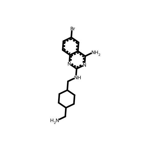 NCC1CCC(CNc2nc(N)c3cc(Br)ccc3n2)CC1